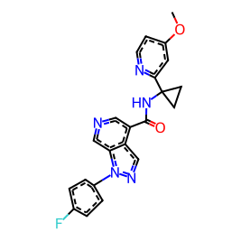 COc1ccnc(C2(NC(=O)c3cncc4c3cnn4-c3ccc(F)cc3)CC2)c1